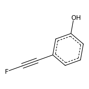 Oc1cccc(C#CF)c1